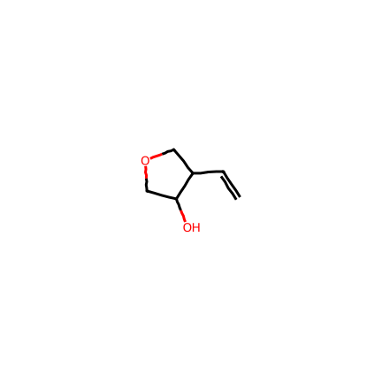 C=CC1COCC1O